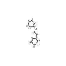 [c]1cccc(CC=Cc2ccccc2)c1